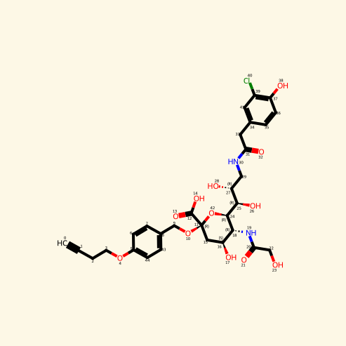 C#CCCOc1ccc(CO[C@]2(C(=O)O)C[C@H](O)[C@@H](NC(=O)CO)[C@H]([C@H](O)[C@H](O)CNC(=O)Cc3ccc(O)c(Cl)c3)O2)cc1